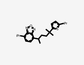 CC(C)c1ccc(C(C)(C)CCC(C)c2ccc(C(C)C)c3nonc23)s1